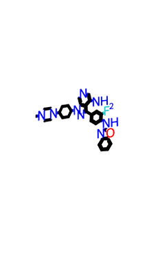 CN1CCN(C2CCC(n3nc(-c4ccc(Nc5nc6ccccc6o5)c(F)c4)c4c(N)cncc43)CC2)CC1